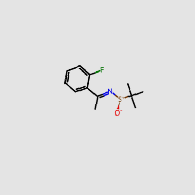 CC(=N[S@+]([O-])C(C)(C)C)c1ccccc1F